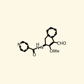 COC1=C(C=O)c2ccccc2CC1=NNC(=O)c1ccncc1